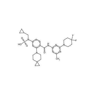 Cc1cc(NC(=O)c2ccc(N(CC3CC3)S(=O)(=O)O)cc2N2CCC3(CC2)CC3)nc(N2CCC(F)(F)CC2)n1